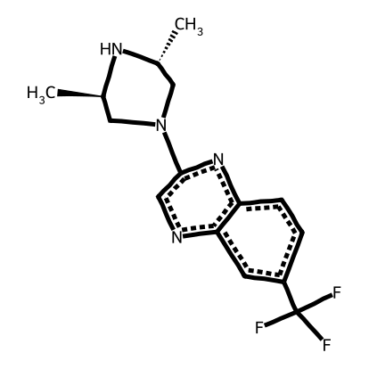 C[C@@H]1CN(c2cnc3cc(C(F)(F)F)ccc3n2)C[C@@H](C)N1